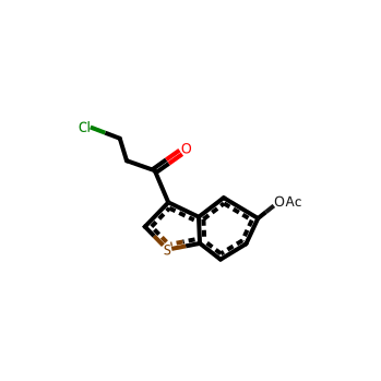 CC(=O)Oc1ccc2scc(C(=O)CCCl)c2c1